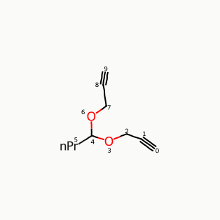 C#CCOC(CC[CH2])OCC#C